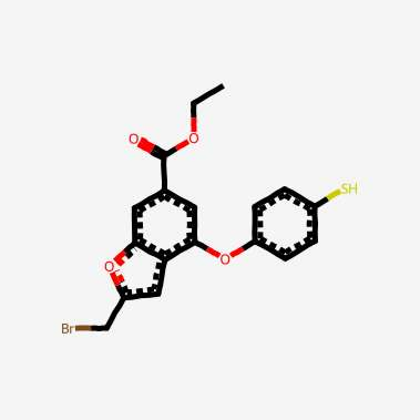 CCOC(=O)c1cc(Oc2ccc(S)cc2)c2cc(CBr)oc2c1